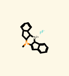 CP1C2=Cc3ccccc3[CH]2[Ti+2][CH]2C3C=CC=CC3CC21.[F-].[F-]